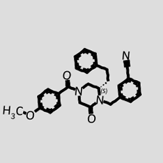 COc1ccc(C(=O)N2CC(=O)N(Cc3cccc(C#N)c3)[C@@H](CCc3ccccc3)C2)cc1